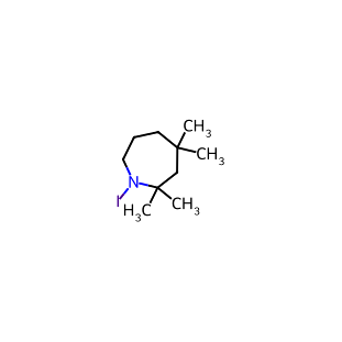 CC1(C)CCCN(I)C(C)(C)C1